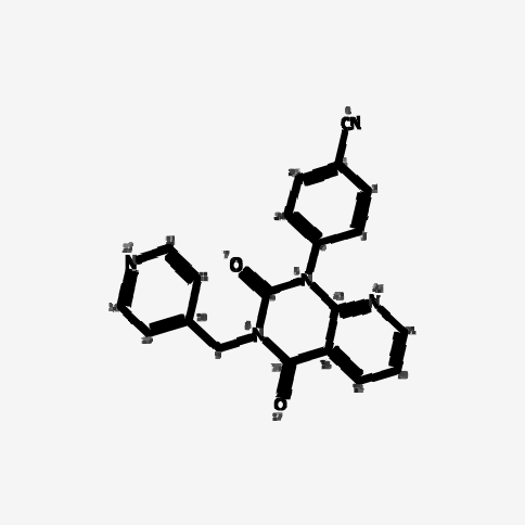 N#Cc1ccc(-n2c(=O)n(Cc3ccncc3)c(=O)c3cccnc32)cc1